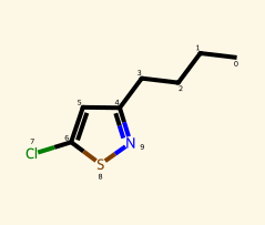 CCCCc1cc(Cl)sn1